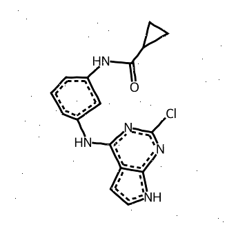 O=C(Nc1cccc(Nc2nc(Cl)nc3[nH]ccc23)c1)C1CC1